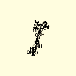 CCC(C)C(C(CC(=O)N1CCCC1C(OC)C(C)C)OC)N(C)C(=O)CNC(=O)C(C)(C)NC(=O)OCc1ccc(NC(=O)CNC(=O)C(NC=O)C(C)C)cc1